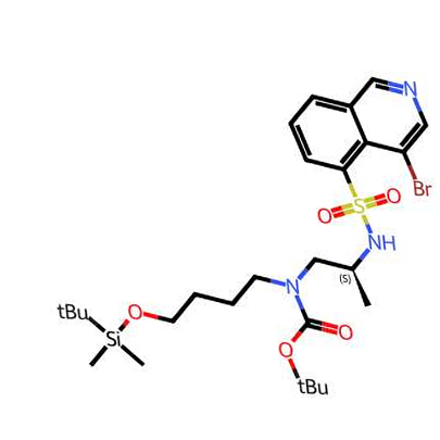 C[C@@H](CN(CCCCO[Si](C)(C)C(C)(C)C)C(=O)OC(C)(C)C)NS(=O)(=O)c1cccc2cncc(Br)c12